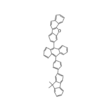 CC1(C)c2ccccc2-c2ccc(-c3ccc(-c4c5ccccc5c(-c5ccc6c(c5)oc5c7ccccc7ccc65)c5ccccc45)cc3)cc21